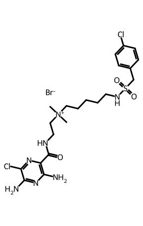 C[N+](C)(CCCCCNS(=O)(=O)Cc1ccc(Cl)cc1)CCNC(=O)c1nc(Cl)c(N)nc1N.[Br-]